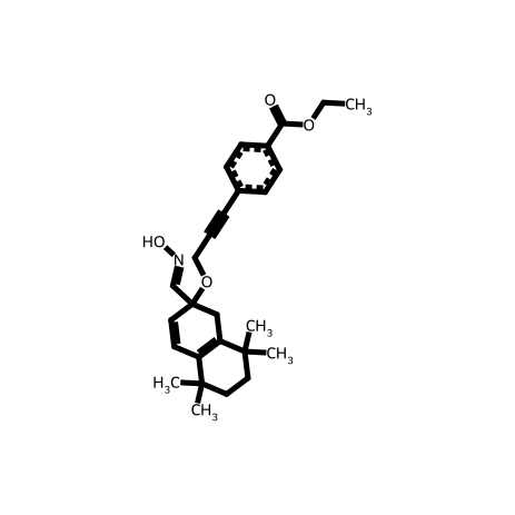 CCOC(=O)c1ccc(C#CCOC2(C=NO)C=CC3=C(C2)C(C)(C)CCC3(C)C)cc1